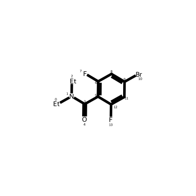 CCN(CC)C(=O)c1c(F)cc(Br)cc1F